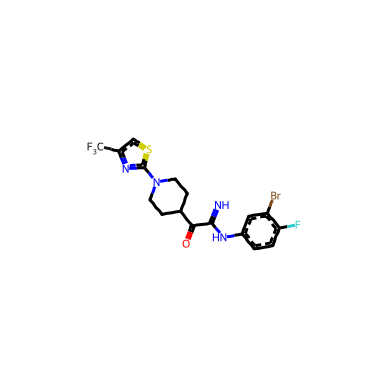 N=C(Nc1ccc(F)c(Br)c1)C(=O)C1CCN(c2nc(C(F)(F)F)cs2)CC1